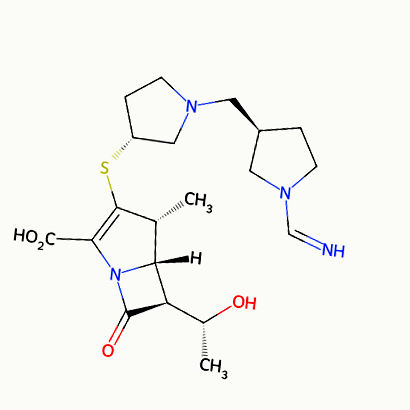 C[C@@H](O)[C@H]1C(=O)N2C(C(=O)O)=C(S[C@@H]3CCN(C[C@H]4CCN(C=N)C4)C3)[C@H](C)[C@H]12